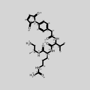 BC[C@@H](C)NC(=O)[C@H](CCCNC(N)=O)NC(=O)C(NC(=O)Cc1ccc(N2C(=O)C=CC2=O)cc1)C(C)C